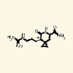 N=C(N)NCCC[C@H]1C(=O)NC(C(N)=O)CC12CC2